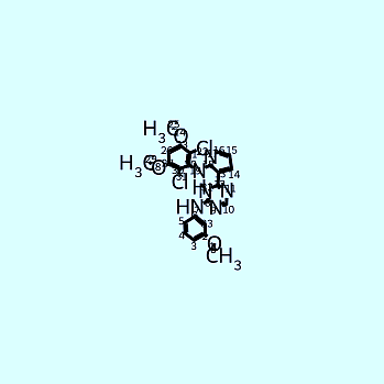 COc1cccc(Nc2ncnc(-c3cccnc3Nc3c(Cl)c(OC)cc(OC)c3Cl)n2)c1